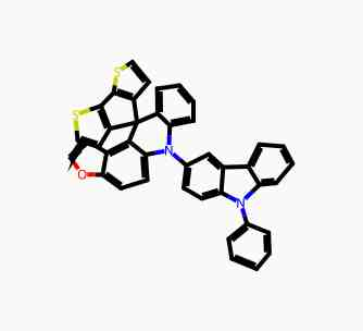 c1ccc(-n2c3ccccc3c3cc(N4c5ccccc5C5(c6ccsc6-c6sccc65)c5c4ccc4oc6ccccc6c54)ccc32)cc1